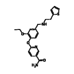 CCOc1cc(CNCCc2cccs2)ccc1Oc1ccc(C(N)=O)cn1